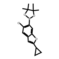 CC1(C)OB(c2cc3oc(C4CC4)cc3cc2Cl)OC1(C)C